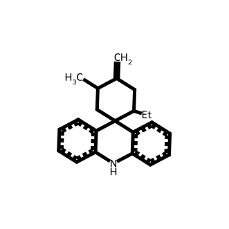 C=C1CC(CC)C2(CC1C)c1ccccc1Nc1ccccc12